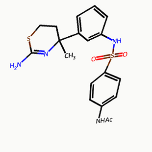 CC(=O)Nc1ccc(S(=O)(=O)Nc2cccc(C3(C)CCSC(N)=N3)c2)cc1